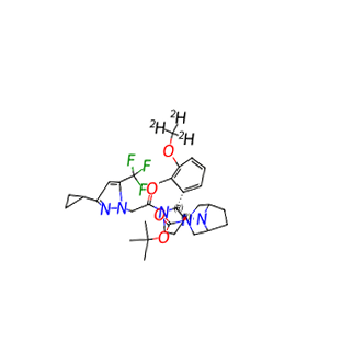 [2H]C([2H])([2H])Oc1cccc([C@@H]2[C@H](N3C4CCC3CN(C(=O)OC(C)(C)C)C4)CCN2C(=O)Cn2nc(C3CC3)cc2C(F)(F)F)c1C